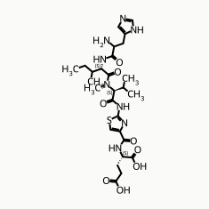 CCC(C)[C@H](NC(=O)C(N)Cc1cnc[nH]1)C(=O)N(C)[C@H](C(=O)Nc1nc(C(=O)N[C@@H](CCC(=O)O)C(=O)O)cs1)C(C)C